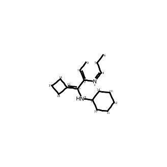 C/C=C(\N=C/CC)C(NC1CCCCC1)=C1CCC1